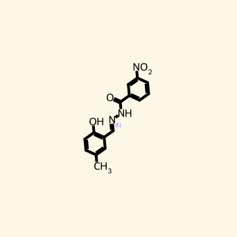 Cc1ccc(O)c(/C=N/NC(=O)c2cccc([N+](=O)[O-])c2)c1